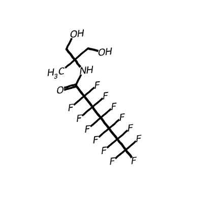 CC(CO)(CO)NC(=O)C(F)(F)C(F)(F)C(F)(F)C(F)(F)C(F)(F)C(F)(F)F